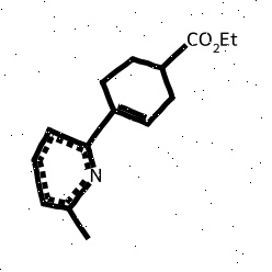 CCOC(=O)C1CC=C(c2cccc(C)n2)CC1